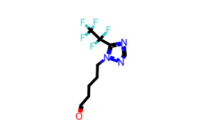 O=CCCCCn1ncnc1C(F)(F)C(F)(F)F